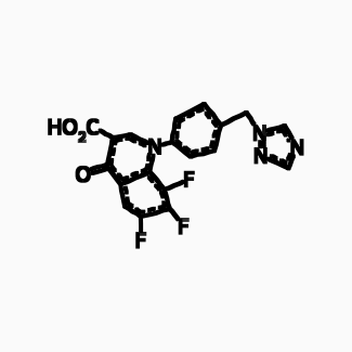 O=C(O)c1cn(-c2ccc(Cn3cncn3)cc2)c2c(F)c(F)c(F)cc2c1=O